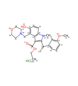 CCOC(=O)c1c(C(=S)c2cccc(OC)c2)n(C)c2ccc(O)c(CN3CCOCC3)c12.Cl